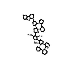 CC(C)(C)c1cc(C(C)(C)C)c(-c2ncc3c(n2)-c2ccccc2-c2ccccc2-c2cc(-c4cccc5c4oc4ccccc45)ccc2-3)c(C(C)(C)C)c1-c1ccc2c(c1)-c1ccccc1-c1ccccc1-c1ncccc1-2